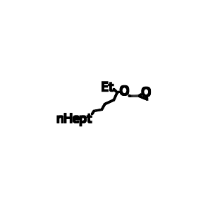 CCCCCCCCCCCC(CC)OCC1CO1